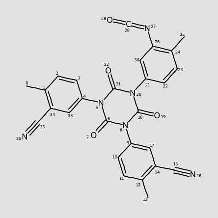 Cc1ccc(-n2c(=O)n(-c3ccc(C)c(C#N)c3)c(=O)n(-c3ccc(C)c(N=C=O)c3)c2=O)cc1C#N